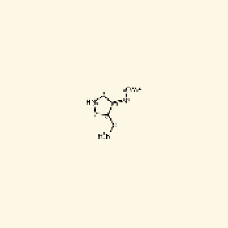 CO/N=C1\CNCC1CN